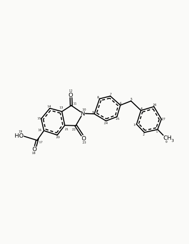 Cc1ccc(Cc2ccc(N3C(=O)c4ccc(C(=O)O)cc4C3=O)cc2)cc1